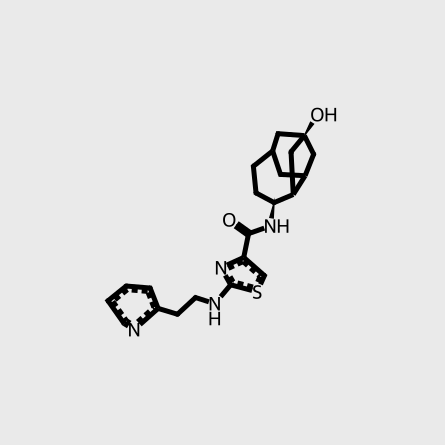 O=C(N[C@H]1CCC2CC3C[C@@](O)(C2)CC31)c1csc(NCCc2ccccn2)n1